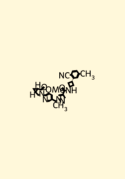 COc1cc([C@@H](C)n2cc(C(=O)N[C@H]3C[C@@H](c4cc(C)ccc4C#N)C3)cn2)cnc1N1C[C@H]2C[C@H]2C1=O